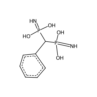 N=P(O)(O)C(c1ccccc1)P(=N)(O)O